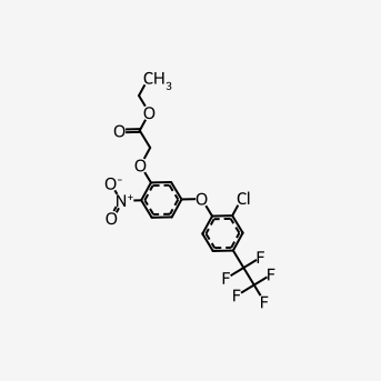 CCOC(=O)COc1cc(Oc2ccc(C(F)(F)C(F)(F)F)cc2Cl)ccc1[N+](=O)[O-]